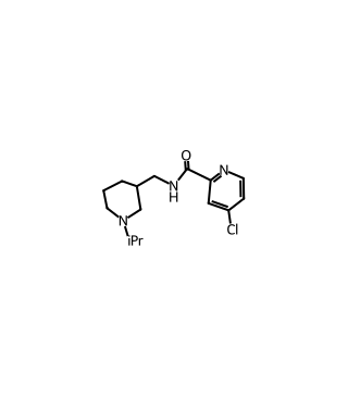 CC(C)N1CCCC(CNC(=O)c2cc(Cl)ccn2)C1